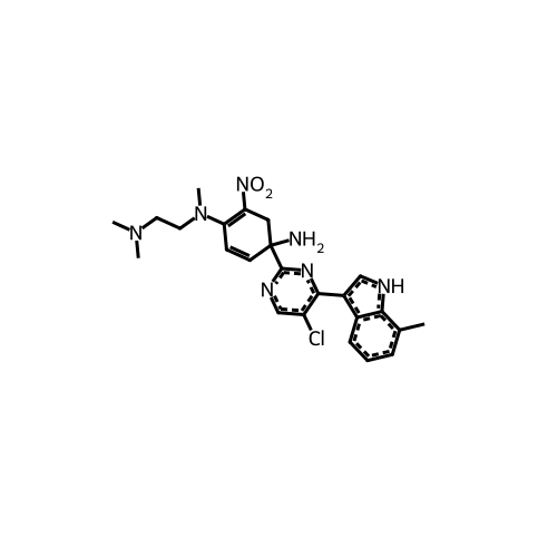 Cc1cccc2c(-c3nc(C4(N)C=CC(N(C)CCN(C)C)=C([N+](=O)[O-])C4)ncc3Cl)c[nH]c12